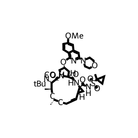 COc1ccc2c(O[C@@H]3C[C@H]4C(=O)N[C@]5(C(=O)NS(=O)(=O)C6(C)CC6)C[C@H]5/C=C\CC[C@H](C)C[C@@H](C)[C@H](N(C(=O)O)C(C)(C)C)C(=O)N4C3)nc(N3CCOCC3)cc2c1